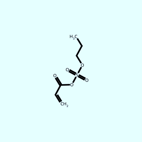 C=CC(=O)OS(=O)(=O)OCCC